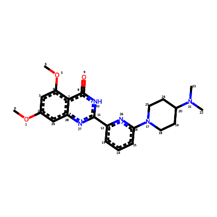 COc1cc(OC)c2c(=O)[nH]c(-c3cccc(N4CCC(N(C)C)CC4)n3)nc2c1